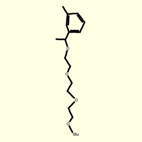 Cc1cccc(C(C)OCCOCCOCCOC(C)(C)C)c1